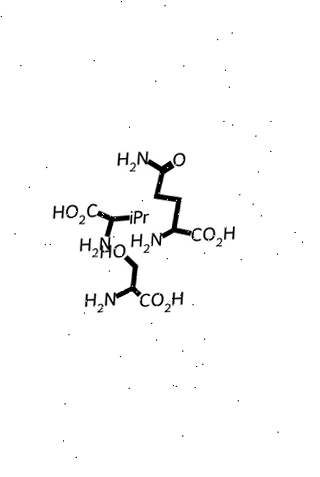 CC(C)C(N)C(=O)O.NC(=O)CCC(N)C(=O)O.NC(CO)C(=O)O